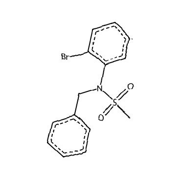 CS(=O)(=O)N(Cc1ccccc1)c1c[c]ccc1Br